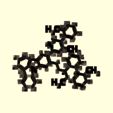 CCC(CCc1cc2c(cc1-c1cc(C)c(-c3ccccc3C)cn1)c1cccc3c4ccccc4n2c31)c1ccccc1C1=CC=CCC1C